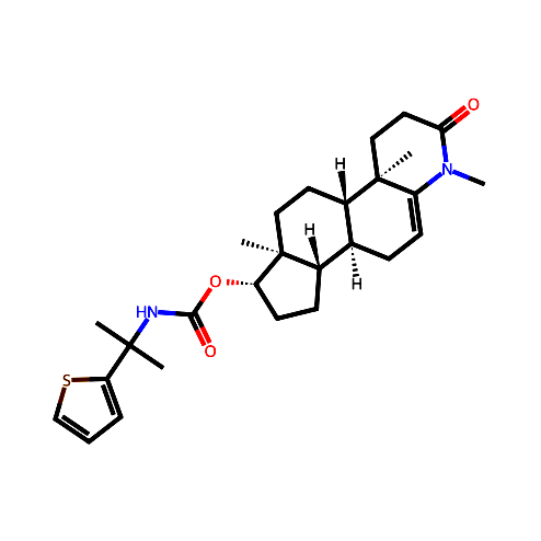 CN1C(=O)CC[C@@]2(C)C1=CC[C@H]1[C@@H]3CC[C@H](OC(=O)NC(C)(C)c4cccs4)[C@@]3(C)CC[C@@H]12